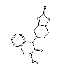 COC(=O)[C@H](c1ccccc1F)N1CCC2SC(=O)C=C2C1